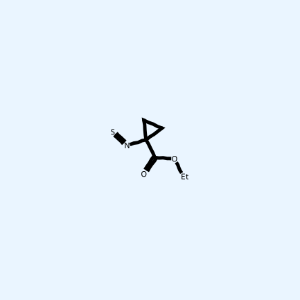 CCOC(=O)C1(N=S)CC1